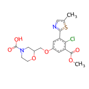 COC(=O)c1cc(OCC2CN(C(=O)O)CCO2)cc(-c2ncc(C)s2)c1Cl